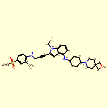 CNS(=O)(=O)c1ccc(NCC#Cc2cc3c(NC4CCC(N5CCC6(CC5)COC6)CC4)cccc3n2CC(F)(F)F)c(OC)c1